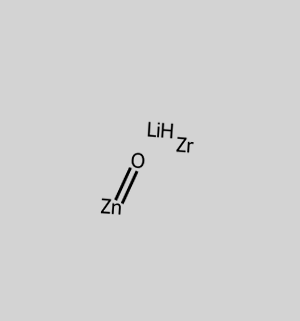 [LiH].[O]=[Zn].[Zr]